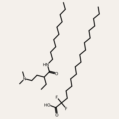 CCCCCCCCCCCCCCCCC(F)(F)C(=O)O.CCCCCCCCCCNC(=O)C(CC)CCN(C)C